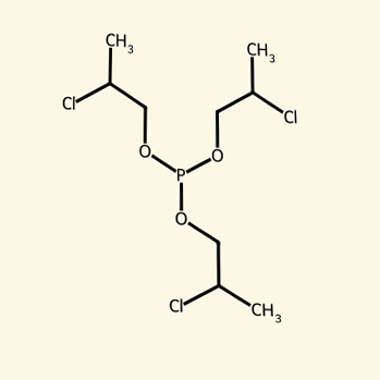 CC(Cl)COP(OCC(C)Cl)OCC(C)Cl